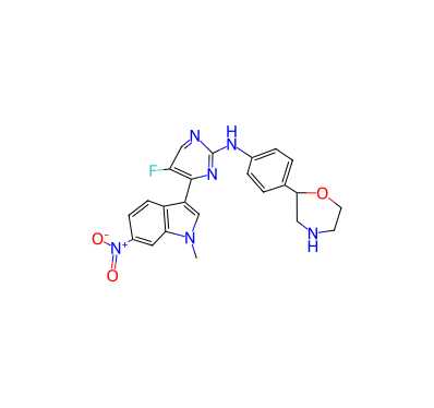 Cn1cc(-c2nc(Nc3ccc(C4CNCCO4)cc3)ncc2F)c2ccc([N+](=O)[O-])cc21